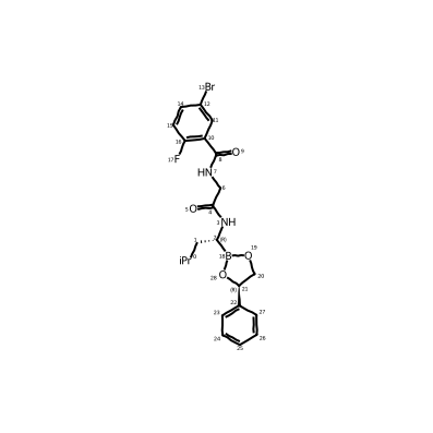 CC(C)C[C@H](NC(=O)CNC(=O)c1cc(Br)ccc1F)B1OC[C@@H](c2ccccc2)O1